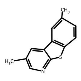 Cc1ccc2sc3ncc(C)cc3c2c1